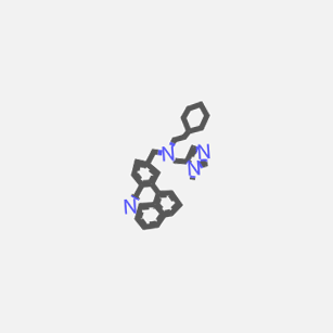 Cn1cncc1CN(CCC1CCCCC1)Cc1ccc(C#N)c(-c2cccc3ccccc23)c1